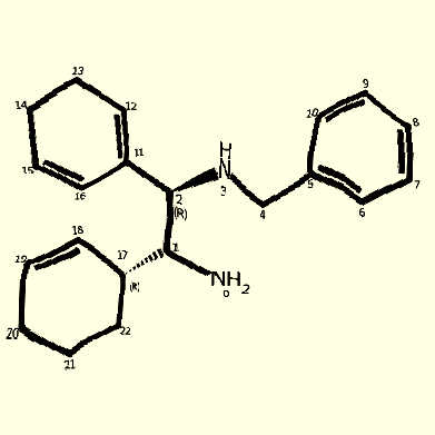 NC([C@H](NCc1ccccc1)C1=CCCC=C1)[C@H]1C=CCCC1